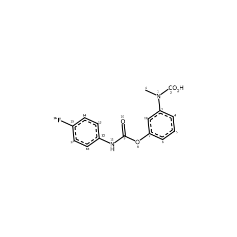 CN(C(=O)O)c1cccc(OC(=O)Nc2ccc(F)cc2)c1